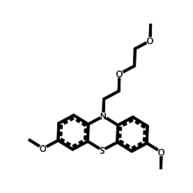 COCCOCCN1c2ccc(OC)cc2Sc2cc(OC)ccc21